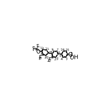 OOc1ccc(-c2ccc(-c3ccc(OC(F)F)c(F)c3)c(F)c2)cc1